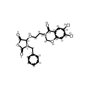 O=C1SC(=O)N(Cc2ccccc2)C1OCCN1COc2cc(Cl)c(Cl)cc2C1=O